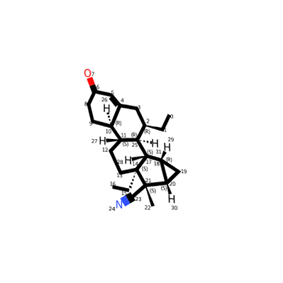 CC[C@@H]1CC2=CC(=O)CC[C@@H]2[C@H]2CC[C@@]3(CC)[C@@H]([C@@H]4C[C@@H]4[C@]3(C)C#N)[C@H]12